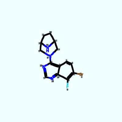 Fc1c(Br)ccc2c(N3CC4CCC(C3)N4)ncnc12